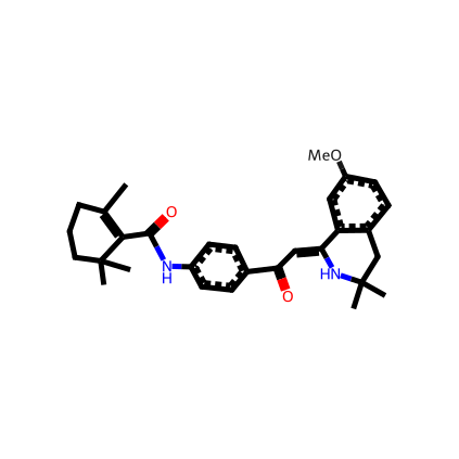 COc1ccc2c(c1)C(=CC(=O)c1ccc(NC(=O)C3=C(C)CCCC3(C)C)cc1)NC(C)(C)C2